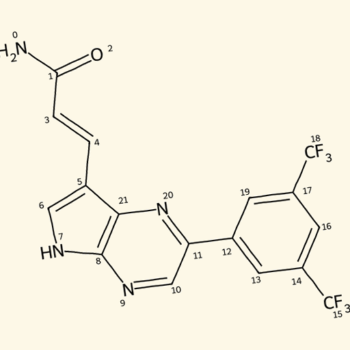 NC(=O)C=Cc1c[nH]c2ncc(-c3cc(C(F)(F)F)cc(C(F)(F)F)c3)nc12